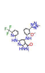 COc1c(Nc2cc(Nc3cccc(C(F)(F)F)n3)nc3[nH]n(C)c(=O)c23)cccc1-c1nnn(C)n1